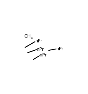 C.CCCC.CCCC.CCCC.CCCC